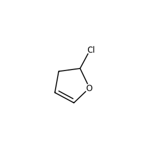 ClC1CC=CO1